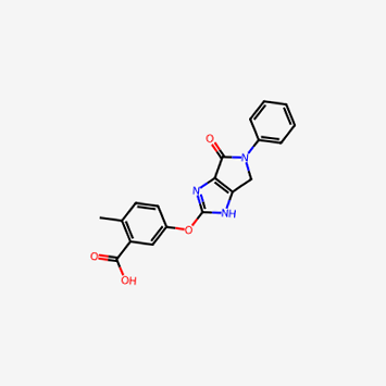 Cc1ccc(Oc2nc3c([nH]2)CN(c2ccccc2)C3=O)cc1C(=O)O